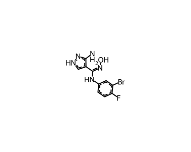 Nc1n[nH]cc1C(=NO)Nc1ccc(F)c(Br)c1